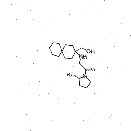 N#C[C@@H]1CCCN1C(=O)CNC1(CO)CCC2(CCCCC2)CC1